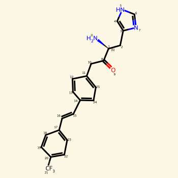 N[C@@H](Cc1c[nH]cn1)C(=O)Cc1ccc(C=Cc2ccc(C(F)(F)F)cc2)cc1